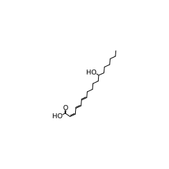 CCCCCCC(O)CCCCC=CC=C/C=C\C(=O)O